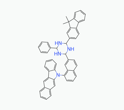 CC1(C)c2ccccc2-c2ccc(C3NC(c4ccccc4)NC(c4ccc5cccc(-n6c7ccccc7c7cc8ccccc8cc76)c5c4)N3)cc21